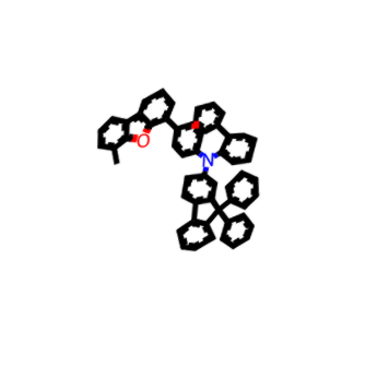 Cc1cccc2c1oc1c(-c3ccc(N(c4ccc5c(c4)C(c4ccccc4)(c4ccccc4)c4ccccc4-5)c4ccccc4-c4ccccc4)cc3)cccc12